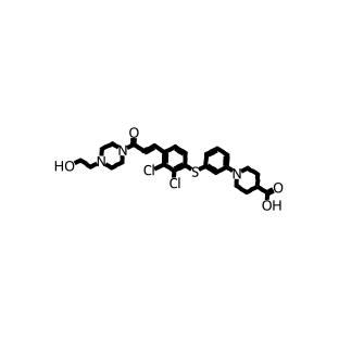 O=C(O)C1CCN(c2cccc(Sc3ccc(/C=C/C(=O)N4CCN(CCO)CC4)c(Cl)c3Cl)c2)CC1